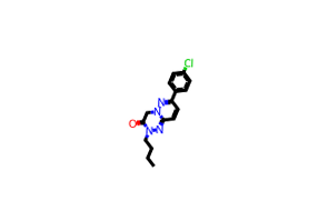 CCCCN1N=C2C=CC(c3ccc(Cl)cc3)=NN2CC1=O